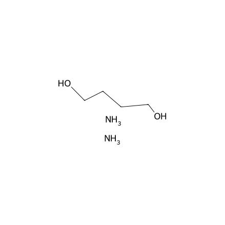 N.N.OCCCCO